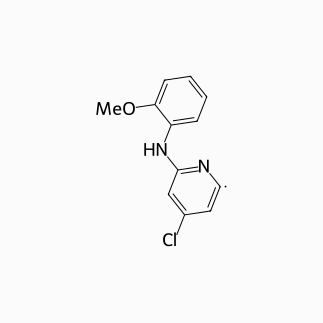 COc1ccccc1Nc1cc(Cl)c[c]n1